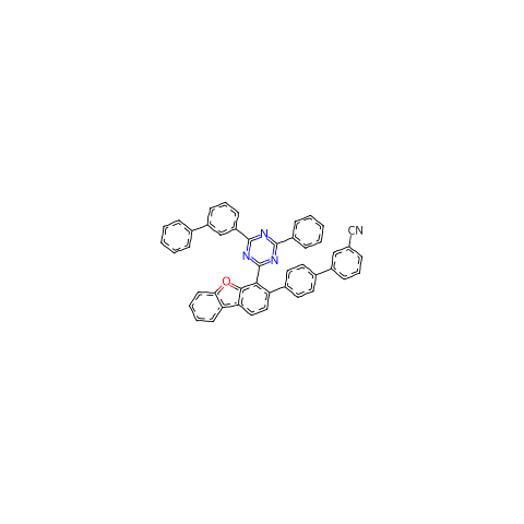 N#Cc1cccc(-c2ccc(-c3ccc4c(oc5ccccc54)c3-c3nc(-c4ccccc4)nc(-c4cccc(-c5ccccc5)c4)n3)cc2)c1